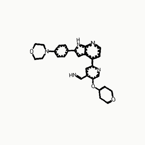 N=Cc1cc(-c2ccnc3[nH]c(-c4ccc(N5CCOCC5)cc4)cc23)ncc1OC1CCOCC1